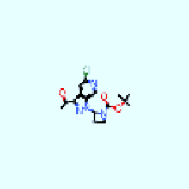 CC(=O)c1nn(C2CCN2C(=O)OC(C)(C)C)c2cnc(Cl)cc12